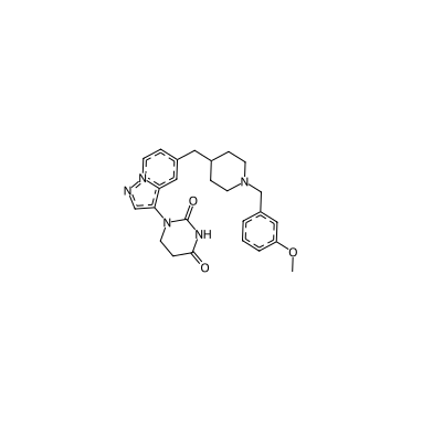 COc1cccc(CN2CCC(Cc3ccn4ncc(N5CCC(=O)NC5=O)c4c3)CC2)c1